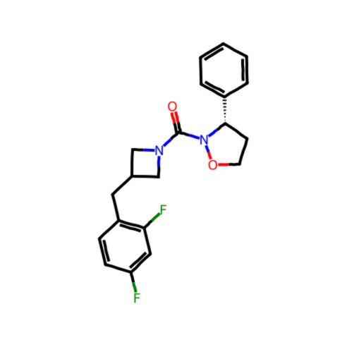 O=C(N1CC(Cc2ccc(F)cc2F)C1)N1OCC[C@H]1c1ccccc1